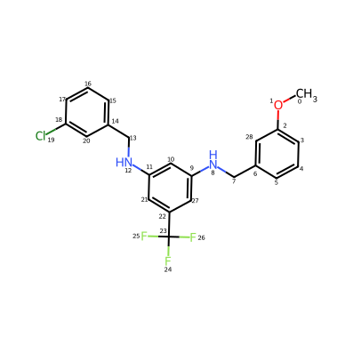 COc1cccc(CNc2cc(NCc3cccc(Cl)c3)cc(C(F)(F)F)c2)c1